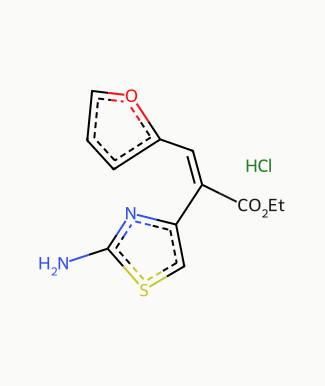 CCOC(=O)C(=Cc1ccco1)c1csc(N)n1.Cl